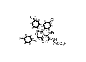 CCC[C@H](C(=O)NCC(=O)O)N1C(=O)[C@H](Cc2ccc(F)cc2)O[C@H](c2ccc(Cl)cc2)[C@H]1c1ccc(Cl)cc1